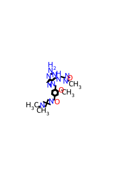 COc1cc(C(=O)N2CC3(C2)CN(C(C)C)C3)ccc1Cn1ncc2nc(N)nc(NCc3noc(C)n3)c21